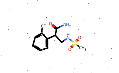 CS(=O)(=O)NCC(C(N)=O)c1ccccc1C(F)(F)F